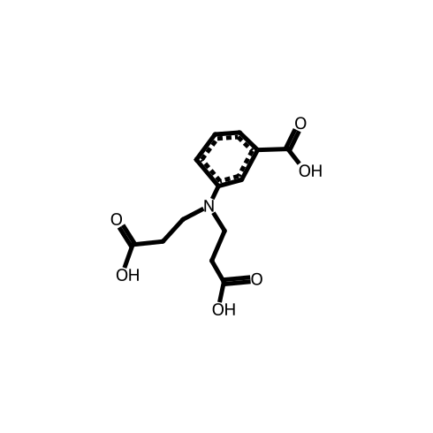 O=C(O)CCN(CCC(=O)O)c1cccc(C(=O)O)c1